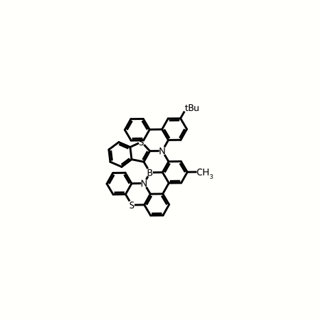 Cc1cc2c3c(c1)N(c1ccc(C(C)(C)C)cc1-c1ccccc1)c1sc4ccccc4c1B3N1c3ccccc3Sc3cccc-2c31